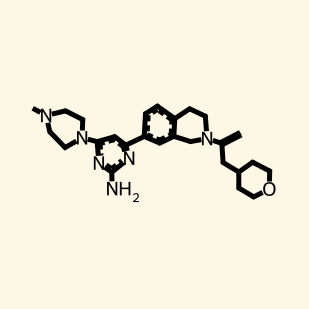 C=C(CC1CCOCC1)N1CCc2ccc(-c3cc(N4CCN(C)CC4)nc(N)n3)cc2C1